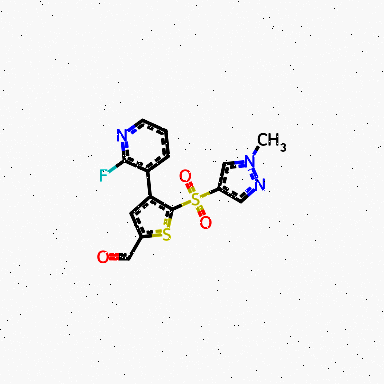 Cn1cc(S(=O)(=O)c2sc(C=O)cc2-c2cccnc2F)cn1